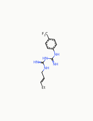 CCC=CCNC(=N)NC(=N)Nc1ccc(C(F)(F)F)cc1